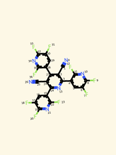 N#Cc1c(-c2cc(F)c(F)nc2F)nc(-c2cc(F)c(F)nc2F)c(C#N)c1-c1cc(F)c(F)nc1F